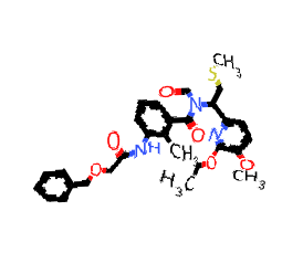 CCOc1nc(C(CSC)N(C=O)C(=O)c2cccc(NC(=O)COCc3ccccc3)c2C)ccc1OC